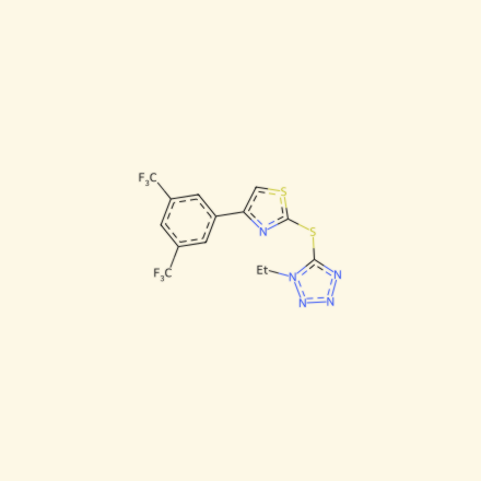 CCn1nnnc1Sc1nc(-c2cc(C(F)(F)F)cc(C(F)(F)F)c2)cs1